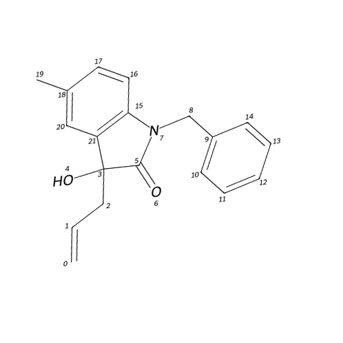 C=CCC1(O)C(=O)N(Cc2ccccc2)c2ccc(C)cc21